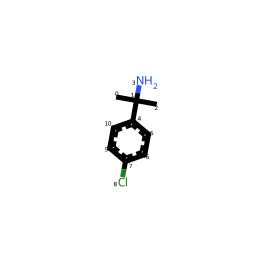 CC(C)(N)c1c[c]c(Cl)cc1